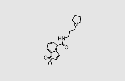 O=C(NCCCN1CCCC1)c1cccc2c1C=CS2(=O)=O